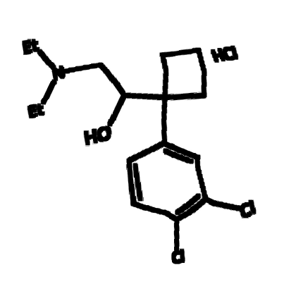 CCN(CC)CC(O)C1(c2ccc(Cl)c(Cl)c2)CCC1.Cl